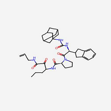 C=CCNC(=O)C(=O)C(CCC)NC(=O)[C@@H]1CCCN1C(=O)[C@@H](NC(=O)NC12CC3CC(CC(C3)C1)C2)C1Cc2ccccc2C1